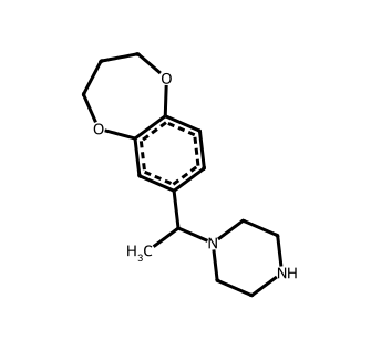 CC(c1ccc2c(c1)OCCCO2)N1CCNCC1